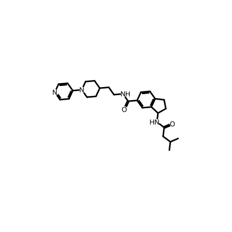 CC(C)CC(=O)NC1CCc2ccc(C(=O)NCCC3CCN(c4ccncc4)CC3)cc21